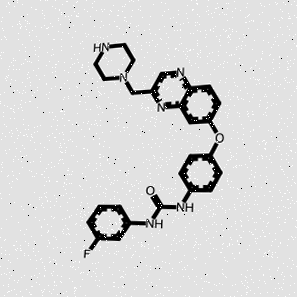 O=C(Nc1ccc(Oc2ccc3ncc(CN4CCNCC4)nc3c2)cc1)Nc1cccc(F)c1